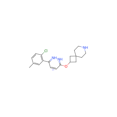 Cc1ccc(Cl)c(C(=N)/C=C\C(=N)OC2CC3(CCNCC3)C2)c1